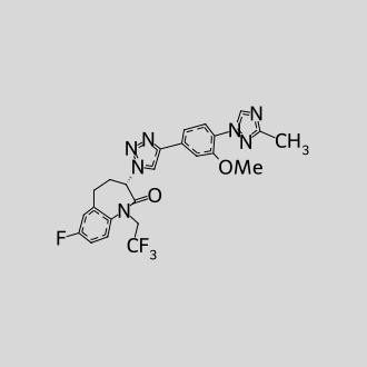 COc1cc(-c2cn([C@H]3CCc4cc(F)ccc4N(CC(F)(F)F)C3=O)nn2)ccc1-n1cnc(C)n1